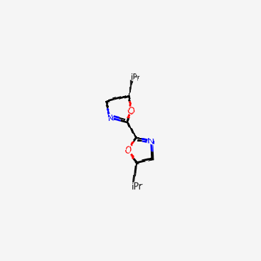 CC(C)C1CN=C(C2=NC[C@@H](C(C)C)O2)O1